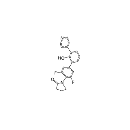 O=C1CCCN1c1c(F)cc(-c2cccc(-c3ccncc3)c2O)cc1F